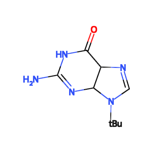 CC(C)(C)N1C=NC2C(=O)NC(N)=NC21